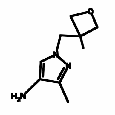 Cc1nn(CC2(C)COC2)cc1N